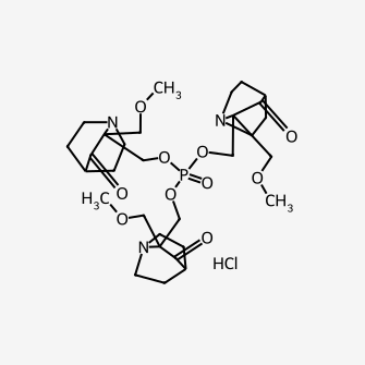 COCC1(COP(=O)(OCC2(COC)C(=O)C3CCN2CC3)OCC2(COC)C(=O)C3CCN2CC3)C(=O)C2CCN1CC2.Cl